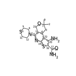 CC1(C)Cc2c(c(N3CCSCC3)nc3sc(C(N)=O)c(N)c23)CO1